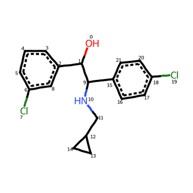 OC(c1cccc(Cl)c1)C(NCC1CC1)c1ccc(Cl)cc1